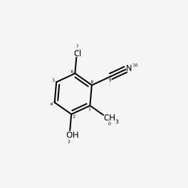 Cc1c(O)ccc(Cl)c1C#N